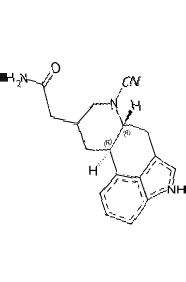 N#CN1CC(CC(N)=O)C[C@@H]2c3cccc4[nH]cc(c34)C[C@H]21